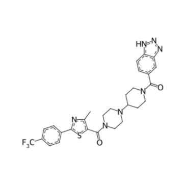 Cc1nc(-c2ccc(C(F)(F)F)cc2)sc1C(=O)N1CCN(C2CCN(C(=O)c3ccc4[nH]nnc4c3)CC2)CC1